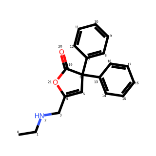 CCNCC1=CC(c2ccccc2)(c2ccccc2)C(=O)O1